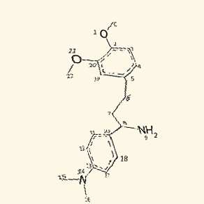 COc1ccc(CCC(N)c2ccc(N(C)C)cc2)cc1OC